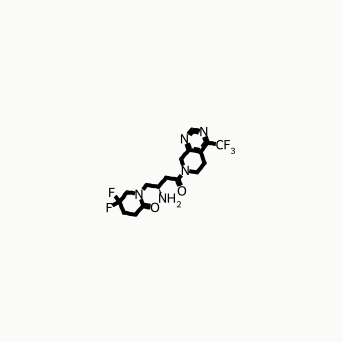 N[C@@H](CC(=O)N1CCc2c(ncnc2C(F)(F)F)C1)CN1CC(F)(F)CCC1=O